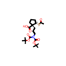 CC(=O)S[C@H]1CCC[C@@]1(CCCN(C(=O)OC(C)(C)C)C(=O)OC(C)(C)C)C(=O)O